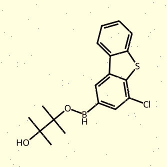 CC(C)(O)C(C)(C)OBc1cc(Cl)c2sc3ccccc3c2c1